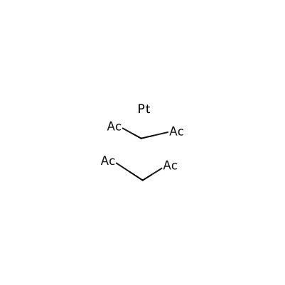 CC(=O)CC(C)=O.CC(=O)CC(C)=O.[Pt]